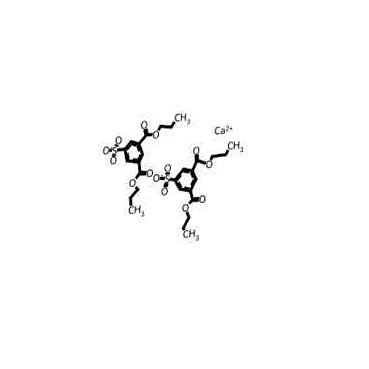 CCCOC(=O)c1cc(C(=O)OCCC)cc(S(=O)(=O)[O-])c1.CCCOC(=O)c1cc(C(=O)OCCC)cc(S(=O)(=O)[O-])c1.[Ca+2]